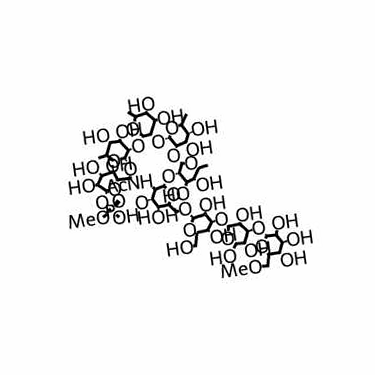 COCC1O[C@H](O[C@@H]2C(O)[C@H](O[C@@H]3C(O)[C@H](OCC4O[C@H](O[C@H]5C(O)[C@@H](O)C(C)O[C@H]5O[C@H]5C(O)[C@@H](O)C(C)O[C@H]5O[C@H]5C(O)[C@@H](O)C(C)O[C@H]5O[C@H]5C(O)[C@@H](O)C(C)O[C@H]5OCC5O[C@H](OP(=O)(O)OC)C(O)[C@@H](O)[C@H]5O)C(NC(C)=O)[C@@H](O)[C@@H]4O)OC(CO)[C@H]3O)OC(O)[C@@H]2O)C(O)[C@@H](O)[C@H]1O